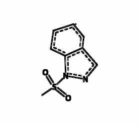 CS(=O)(=O)n1ncc2c[c]ccc21